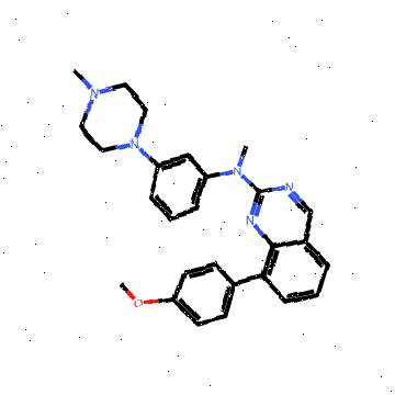 COc1ccc(-c2cccc3cnc(N(C)c4cccc(N5CCN(C)CC5)c4)nc23)cc1